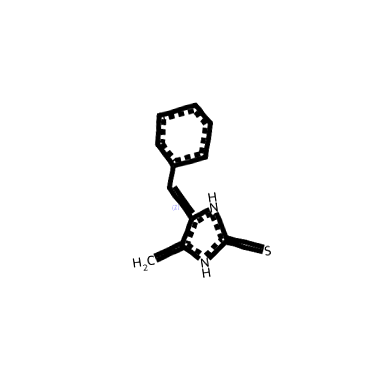 C=c1[nH]c(=S)[nH]/c1=C\c1ccccc1